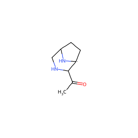 CC(=O)C1NCC2CC[C]1N2